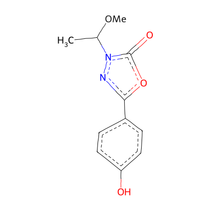 COC(C)n1nc(-c2ccc(O)cc2)oc1=O